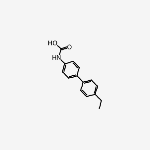 CCc1ccc(-c2ccc(NC(=O)O)cc2)cc1